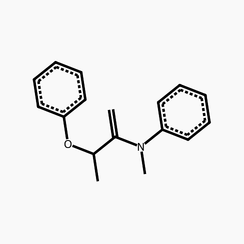 C=C(C(C)Oc1ccccc1)N(C)c1ccccc1